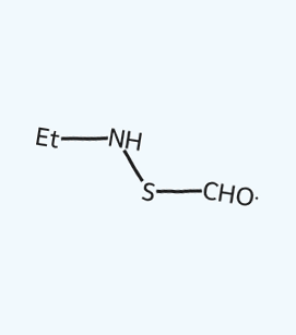 CCNS[C]=O